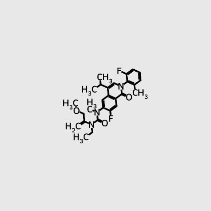 C=C(COC)N(CC)C(=O)N(C)c1cc2c(C(C)C)cn(-c3c(C)cccc3F)c(=O)c2cc1F